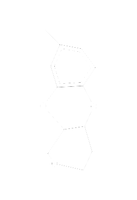 Cc1ccc2c(c1)OC1COCCC1O2